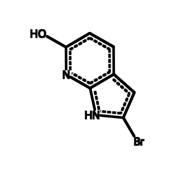 Oc1ccc2cc(Br)[nH]c2n1